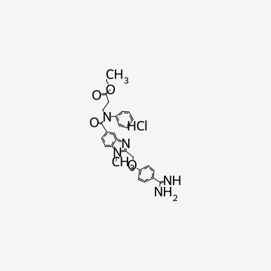 CCOC(=O)CCN(C(=O)c1ccc2c(c1)nc(COc1ccc(C(=N)N)cc1)n2C)c1ccccc1.Cl